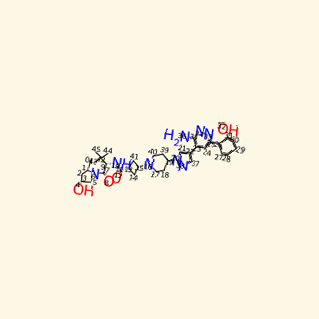 C[C@@H]1C[C@@H](O)CN1C(=O)[C@@H](NC(=O)[C@H]1C[C@@H](N2CCC(n3cc(-c4cc(-c5ccccc5O)nnc4N)cn3)CC2)C1)C(C)(C)C